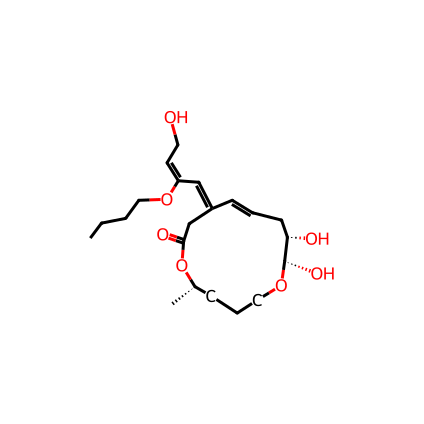 CCCCOC(/C=C1/C=C/C[C@H](O)[C@H](O)OCCC[C@H](C)OC(=O)C1)=C/CO